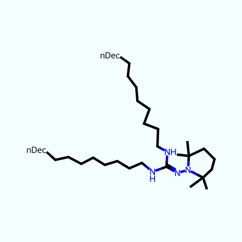 CCCCCCCCCCCCCCCCCCNC(=NN1C(C)(C)CCCC1(C)C)NCCCCCCCCCCCCCCCCCC